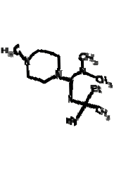 CCCC(C)(CC)N=C(N(C)C)N1CCN(C)CC1